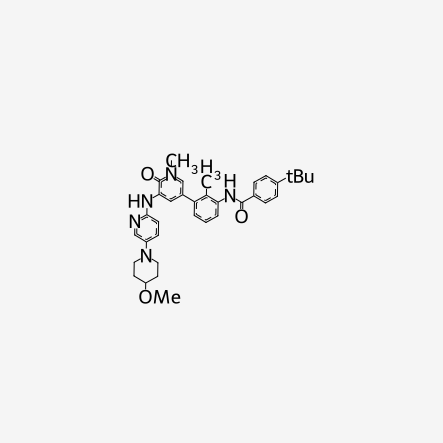 COC1CCN(c2ccc(Nc3cc(-c4cccc(NC(=O)c5ccc(C(C)(C)C)cc5)c4C)cn(C)c3=O)nc2)CC1